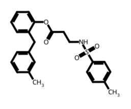 Cc1ccc(S(=O)(=O)NCCC(=O)Oc2ccccc2Cc2cccc(C)c2)cc1